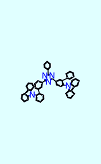 c1ccc(-c2nc(-c3cccc(-c4ccccc4-n4c5ccccc5c5ccccc54)c3)nc(-c3ccc(-n4c5ccccc5c5ccccc54)c(-c4ccccc4)c3)n2)cc1